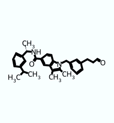 Cc1c(C)n(Cc2cccc(CCC=O)c2)c2ccc(C(=O)N[C@@H](C)c3cccc(C(C)C)c3)cc12